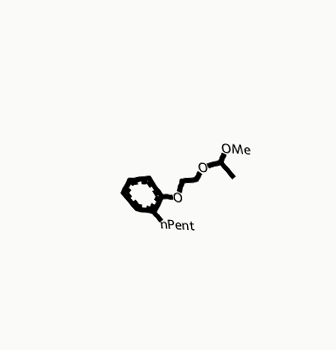 CCCCCc1ccccc1OCCOC(C)OC